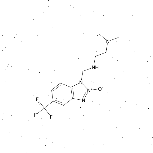 CN(C)CCNCn1c2ccc(C(F)(F)F)cc2n[n+]1[O-]